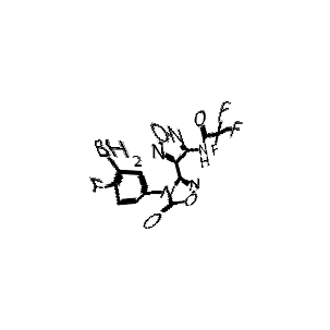 Bc1cc(-n2c(-c3nonc3NC(=O)C(F)(F)F)noc2=O)ccc1F